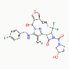 Cc1cocc1C(=O)n1nc(C2C(=O)N(C(=O)N3CCC(O)C3)C2C(F)(F)F)c(C)c1NCc1ccc(F)cc1